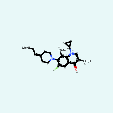 CNCC=C1CCN(c2c(F)cc3c(=O)c(C(=O)O)cn(C4CC4)c3c2OC)CC1